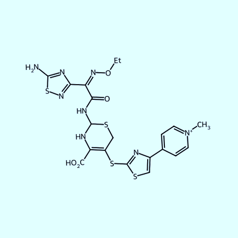 CCO/N=C(\C(=O)NC1NC(C(=O)O)=C(Sc2nc(-c3cc[n+](C)cc3)cs2)CS1)c1nsc(N)n1